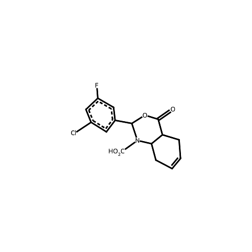 O=C1OC(c2cc(F)cc(Cl)c2)N(C(=O)O)C2CC=CCC12